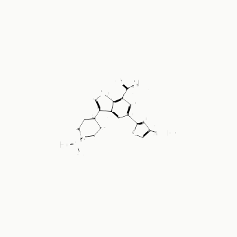 CC[S+]([O-])N1CCC(c2c[nH]c3c(C(N)=O)cc(-c4cc(C=O)cs4)cc23)CC1